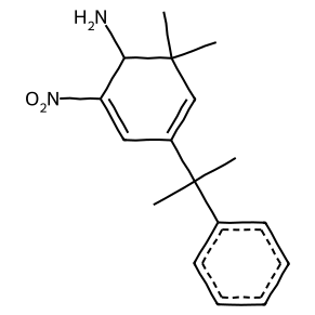 CC(C)(C1=CC(C)(C)C(N)C([N+](=O)[O-])=C1)c1ccccc1